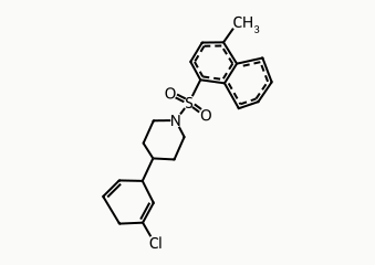 Cc1ccc(S(=O)(=O)N2CCC(C3C=CCC(Cl)=C3)CC2)c2ccccc12